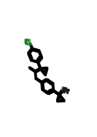 CC(C)C1(c2ccc(CC(C)C3(c4ccc(Cl)cc4)CC3)cc2)CC1